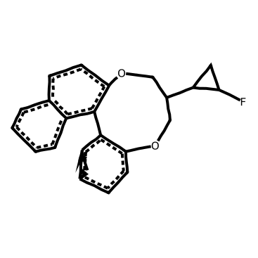 FC1CC1C1COc2ccc3ccccc3c2-c2c(ccc3ccccc23)OC1